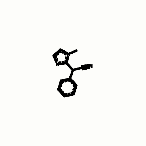 Cn1ccnc1C(C#N)c1ccccc1